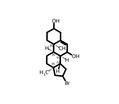 C[C@]12CC[C@@H]3[C@@H](C(O)C=C4CC(O)CC[C@@]43C)[C@@H]1CC(Br)C2